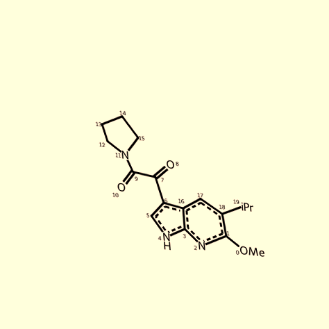 COc1nc2[nH]cc(C(=O)C(=O)N3CCCC3)c2cc1C(C)C